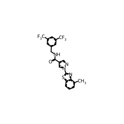 Cc1cccc2sc(-n3cc(C(=O)NCc4cc(C(F)(F)F)cc(C(F)(F)F)c4)cn3)nc12